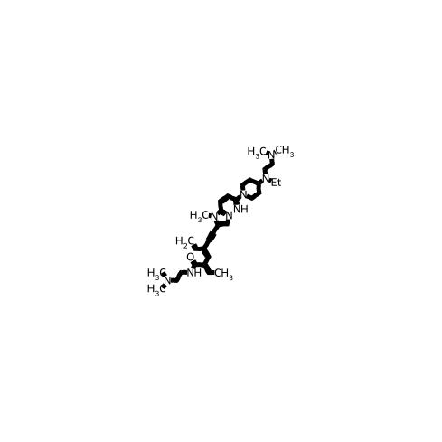 C=C/C(C#Cc1cnc(/C=C\C(=N)N2CCC(N(CC)CCN(C)C)CC2)n1C)=C\C(=C/C)C(=O)NCCN(C)C